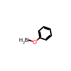 [BiH2][O]c1ccccc1